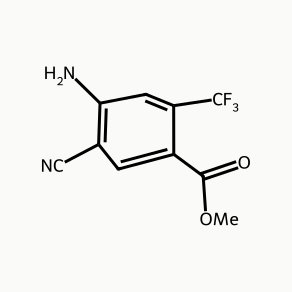 COC(=O)c1cc(C#N)c(N)cc1C(F)(F)F